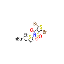 CCCCC(CC)Cc1ccc(N2C(=O)c3c(Br)sc(Br)c3S2(=O)=O)s1